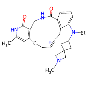 CCN(c1cccc2c1C/C=C/CCc1cc(C)[nH]c(=O)c1CNC2=O)C1CC2(C1)CN(C)C2